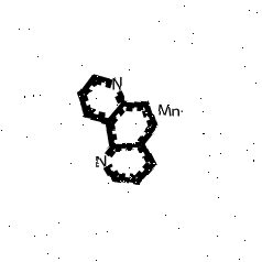 [Mn].c1cnc2c(c1)ccc1ncccc12